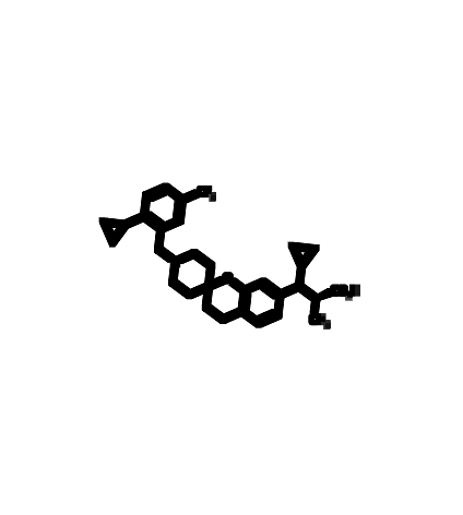 C[C@H](C(=O)O)C(c1ccc2c(c1)OC1(CC2)CCN(Cc2cc(C(F)(F)F)ccc2C2CC2)CC1)C1CC1